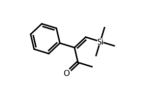 CC(=O)C(=C[Si](C)(C)C)c1ccccc1